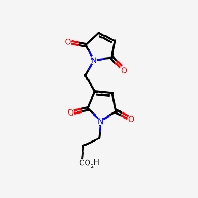 O=C(O)CCN1C(=O)C=C(CN2C(=O)C=CC2=O)C1=O